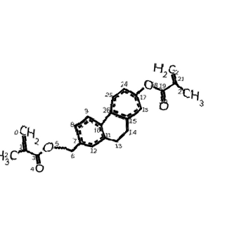 C=C(C)C(=O)OCc1ccc2c(c1)CCc1cc(OC(=O)C(=C)C)ccc1-2